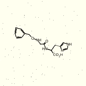 O=C(CNOCc1ccccc1)NC(Cc1c[nH]cn1)C(=O)O